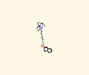 Cc1csc(CCCCCCCOc2ccc3ccccc3c2)n1